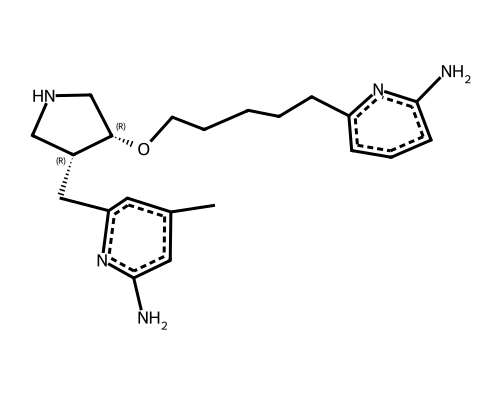 Cc1cc(N)nc(C[C@@H]2CNC[C@@H]2OCCCCCc2cccc(N)n2)c1